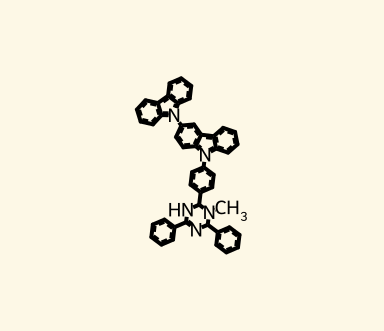 CN1C(c2ccccc2)N=C(c2ccccc2)NC1c1ccc(-n2c3ccccc3c3cc(-n4c5ccccc5c5ccccc54)ccc32)cc1